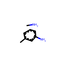 CN.Cc1cccc(N)c1